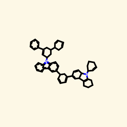 C1=CCC(C2CC(c3ccccc3)=CC(n3c4ccccc4c4cc(C5C=CC=C(C6=CC7C8=C(CCCC8)N(C8C=CCCC8)C7C=C6)C5)ccc43)C2)C=C1